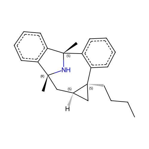 CCCC[C@]12C[C@H]1C[C@@]1(C)N[C@@](C)(c3ccccc32)c2ccccc21